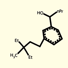 CCCC(O)c1cccc(CCC(C)(CC)CC)c1